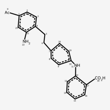 CC(=O)c1ccc(CCc2ccc(Nc3ccccc3C(=O)O)cc2)c(N)c1